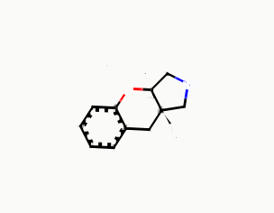 Cl.c1ccc2c(c1)C[C@H]1CNC[C@@H]1O2